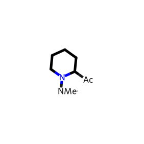 C[N]N1CCCCC1C(C)=O